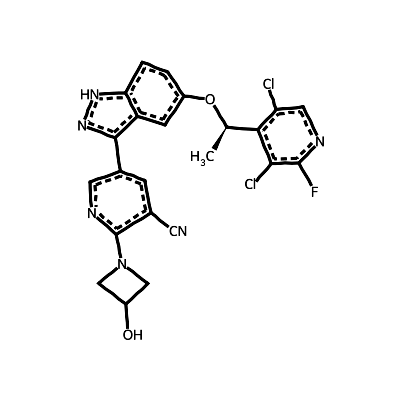 C[C@@H](Oc1ccc2[nH]nc(-c3cnc(N4CC(O)C4)c(C#N)c3)c2c1)c1c(Cl)cnc(F)c1Cl